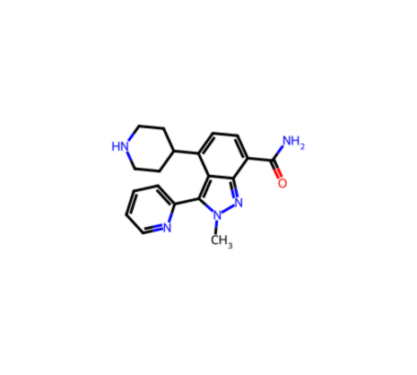 Cn1nc2c(C(N)=O)ccc(C3CCNCC3)c2c1-c1ccccn1